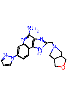 Nc1nc2cc(-n3cccn3)ccc2c2[nH]c(CN3CC4COCC4C3)nc12